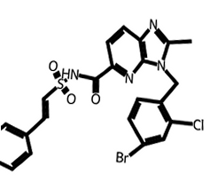 Cc1nc2ccc(C(=O)NS(=O)(=O)C=Cc3ccccc3)nc2n1Cc1ccc(Br)cc1Cl